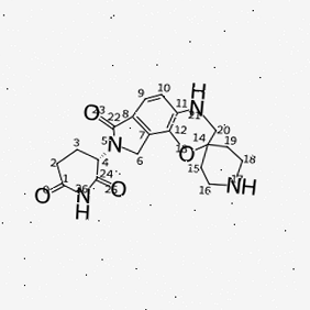 O=C1CC[C@H](N2Cc3c(ccc4c3OC3(CCNCC3)CN4)C2=O)C(=O)N1